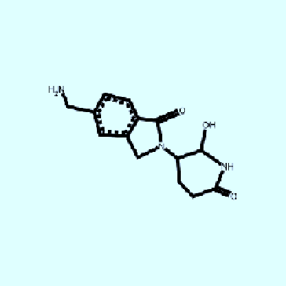 NCc1ccc2c(c1)CN(C1CCC(=O)NC1O)C2=O